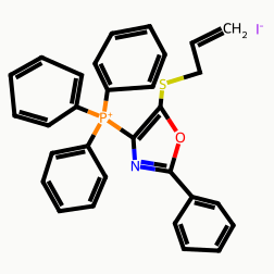 C=CCSc1oc(-c2ccccc2)nc1[P+](c1ccccc1)(c1ccccc1)c1ccccc1.[I-]